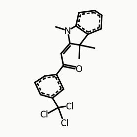 CN1/C(=C/C(=O)c2cccc(C(Cl)(Cl)Cl)c2)C(C)(C)c2ccccc21